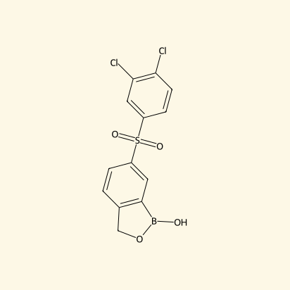 O=S(=O)(c1ccc(Cl)c(Cl)c1)c1ccc2c(c1)B(O)OC2